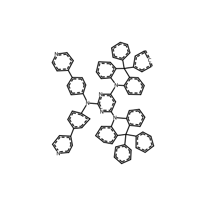 c1ccc(C2(c3ccccc3)c3ccccc3N(c3cc(N4c5ccccc5C(c5ccccc5)(c5ccccc5)c5ccccc54)nc(N(c4ccc(-c5ccncc5)cc4)c4ccc(-c5ccncc5)cc4)n3)c3ccccc32)cc1